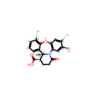 O=C(O)[C@@H]1CCC(=O)N2c3cc(Br)c(F)cc3Oc3c(F)cccc3[C@@H]12